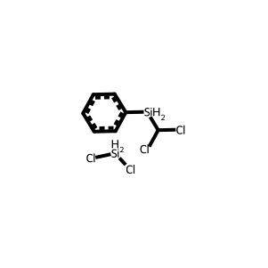 ClC(Cl)[SiH2]c1ccccc1.Cl[SiH2]Cl